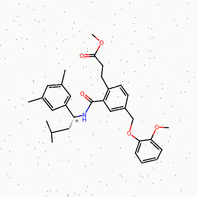 COC(=O)CCc1ccc(COc2ccccc2OC)cc1C(=O)N[C@H](CC(C)C)c1cc(C)cc(C)c1